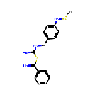 CC(C)SNc1ccc(CNC(=N)SC(=N)c2ccccc2)cc1